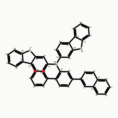 c1ccc(-c2ccc(-c3ccc4ccccc4c3)cc2N(c2ccc3c(c2)sc2ccccc23)c2ccc3c(c2)sc2ccccc23)cc1